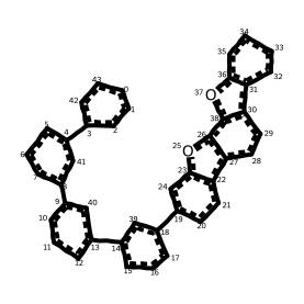 c1ccc(-c2cccc(-c3cccc(-c4cccc(-c5ccc6c(c5)oc5c6ccc6c7ccccc7oc65)c4)c3)c2)cc1